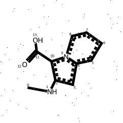 CNc1cc2ccccn2c1C(=O)O